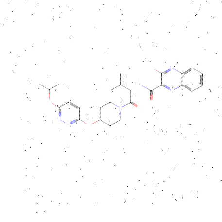 CC(C)Oc1ccc(OC2CCN(C(=O)[C@@H](NC(=O)c3nc4ccccc4nc3O)C(C)C)CC2)nn1